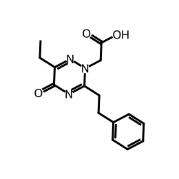 CCc1nn(CC(=O)O)c(CCc2ccccc2)nc1=O